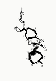 CC(=O)SCC(=O)c1ccc(NS(=O)(=O)c2cccc(F)c2)cc1